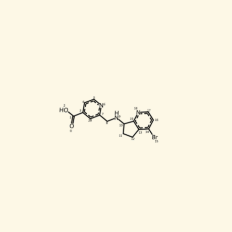 O=C(O)c1ccnc(CNC2CCc3c(Br)ccnc32)c1